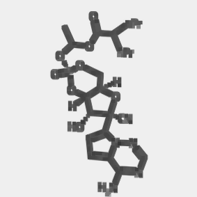 CCCC(CCC)C(=O)OC(C)O[P@]1(=O)OC[C@H]2O[C@@](C#N)(c3ccc4c(N)ncnn34)[C@H](O)[C@@H]2O1